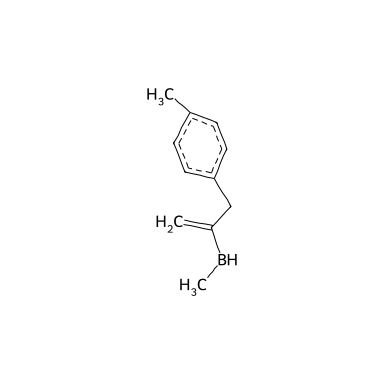 C=C(BC)Cc1ccc(C)cc1